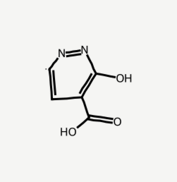 O=C(O)c1c[c]nnc1O